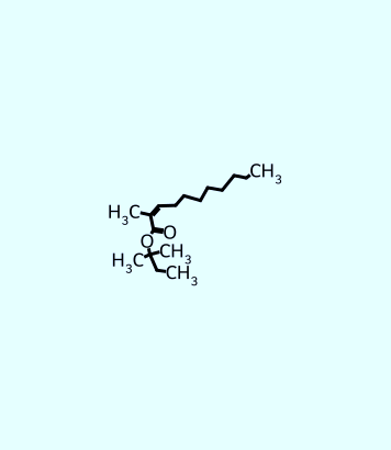 CCCCCCCCC=C(C)C(=O)OC(C)(C)CC